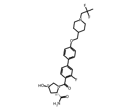 CC(F)(F)CN1CCC(COc2ccc(-c3ccc(C(=O)N4C[C@H](O)C[C@H]4C(N)=O)c(F)c3)cc2)CC1